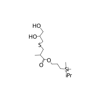 CC(CSCC(O)CO)C(=O)OCCC[Si](C)(C)C(C)C